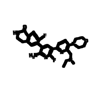 CCN(C)Cc1nc(-c2cc(-c3cc4c(cc3F)C(=O)NCC4)c(N)nc2F)ccc1N1CCOCC1